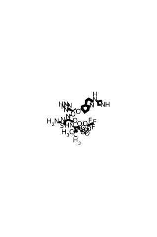 CC1(C)[C@H](NC(=O)/C(=N\O[C@H](COc2ccc3nc(NC4CNC4)ccc3c2)c2nn[nH]n2)c2csc(N)n2)C(=O)N1OS(=O)(=O)OC(=O)C(F)(F)F